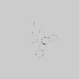 CC(C)OC(=O)[C@H](C)N[P@@](=O)(OC[C@H]1O[C@@H](n2cnc3c(N(C)C)nc(N)nc32)[C@](C)(F)[C@@H]1O)Oc1cccc2ccccc12